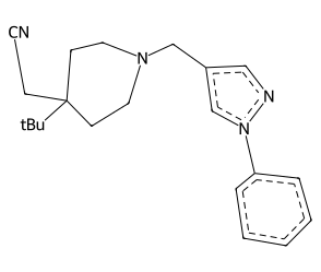 CC(C)(C)C1(CC#N)CCN(Cc2cnn(-c3ccccc3)c2)CC1